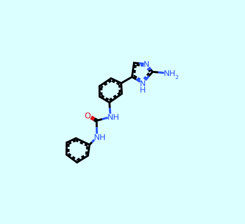 Nc1ncc(-c2cccc(NC(=O)Nc3ccccc3)c2)[nH]1